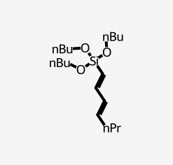 CCC/C=C/C=C/[Si](OCCCC)(OCCCC)OCCCC